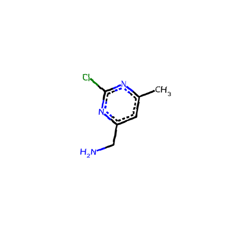 Cc1cc(CN)nc(Cl)n1